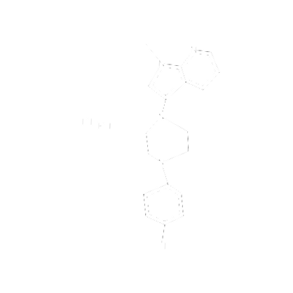 Cl.Cl.Cl.Cn1cc(N2CCN(c3ccc(Cl)cc3)CC2)c2cccnc21